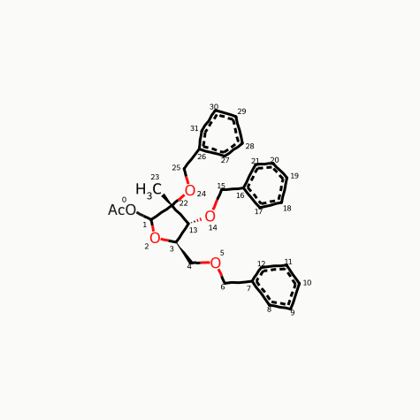 CC(=O)OC1O[C@H](COCc2ccccc2)[C@@H](OCc2ccccc2)[C@@]1(C)OCc1ccccc1